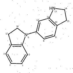 [c]1cccc2c1N(c1ccc3c(c1)NCC3)CC2